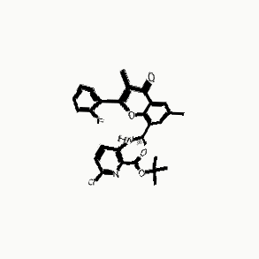 Cc1cc([C@@H](C)Nc2ccc(Cl)nc2C(=O)OC(C)(C)C)c2oc(-c3ccccc3F)c(C)c(=O)c2c1